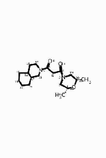 C[C@@H]1CN(C(=O)CC(=O)N2CCC3CCCCC3C2)C[C@H](C)O1